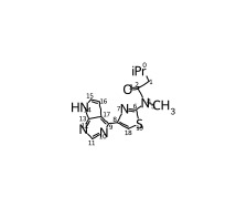 CC(C)CC(=O)N(C)c1nc(-c2ncnc3[nH]ccc23)cs1